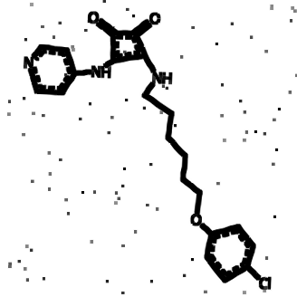 O=c1c(NCCCCCCOc2ccc(Cl)cc2)c(Nc2ccncc2)c1=O